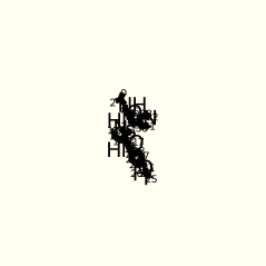 CC(C)NCC(=O)NC(Sc1ncccc1C(=O)Nc1ccc(OC(F)F)cc1)c1ccncc1